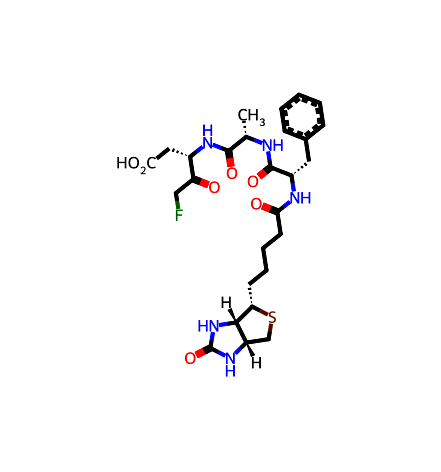 C[C@H](NC(=O)[C@H](Cc1ccccc1)NC(=O)CCCC[C@@H]1SC[C@@H]2NC(=O)N[C@@H]21)C(=O)N[C@@H](CC(=O)O)C(=O)CF